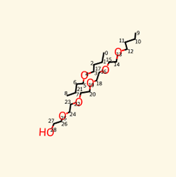 CCCCOCCCC.CCCCOCCOCCOCCOCCOCCO